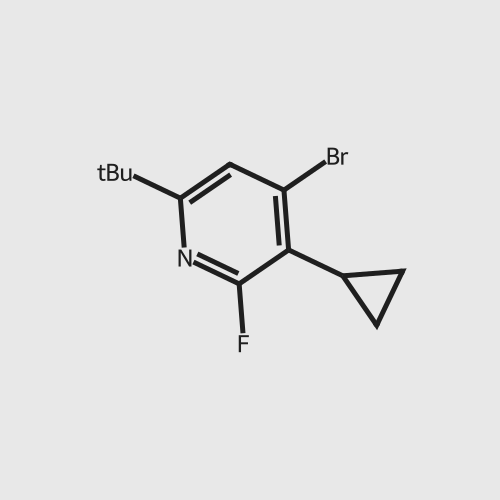 CC(C)(C)c1cc(Br)c(C2CC2)c(F)n1